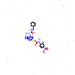 Cc1cc([N+](=O)[O-])ccc1NC(=O)CSc1n[nH]c(NC(=O)NCc2ccccc2)n1